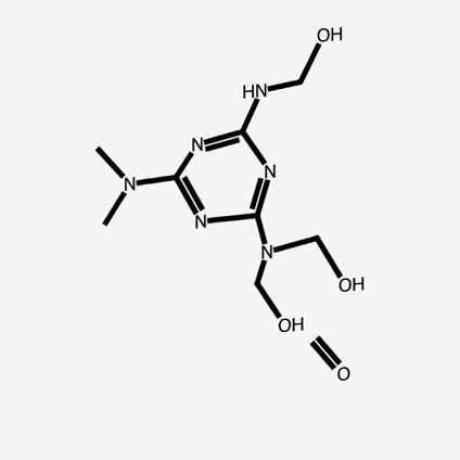 C=O.CN(C)c1nc(NCO)nc(N(CO)CO)n1